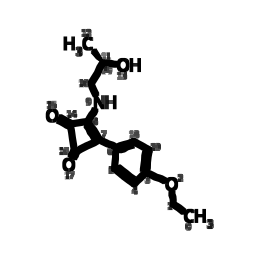 CCOc1ccc(-c2c(NC[C@@H](C)O)c(=O)c2=O)cc1